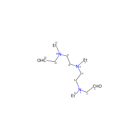 CCN(CC=O)CCN(CC)CCN(CC)CC=O